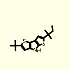 CCC(C)(C)c1cc2c([nH]c3cc(C(C)(C)C)sc32)s1